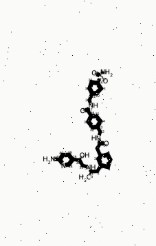 C[C@H](Cc1cccc(CC(=O)NCc2ccc(C(=O)NCc3ccc(S(N)(=O)=O)cc3)cc2)c1)NC[C@H](O)c1ccc(N)nc1